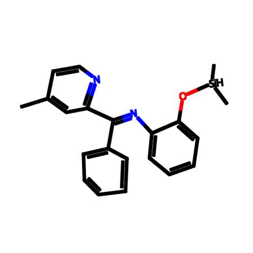 Cc1ccnc(C(=Nc2ccccc2O[SiH](C)C)c2ccccc2)c1